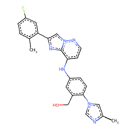 Cc1cn(-c2ccc(Nc3ccnn4cc(-c5cc(F)ccc5C)nc34)cc2CO)cn1